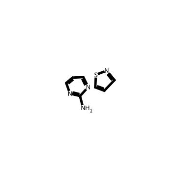 Nc1ncccn1.c1cnsc1